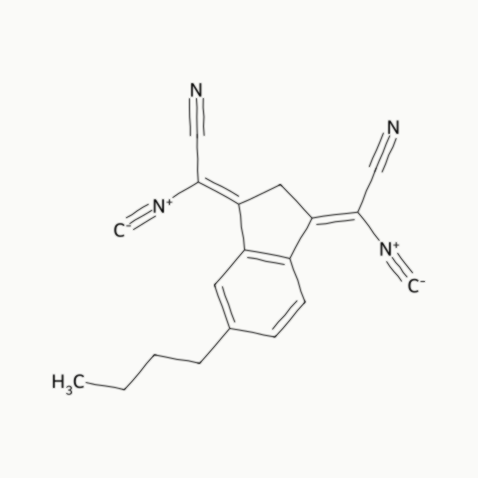 [C-]#[N+]/C(C#N)=C1/C/C(=C(\C#N)[N+]#[C-])c2cc(CCCC)ccc21